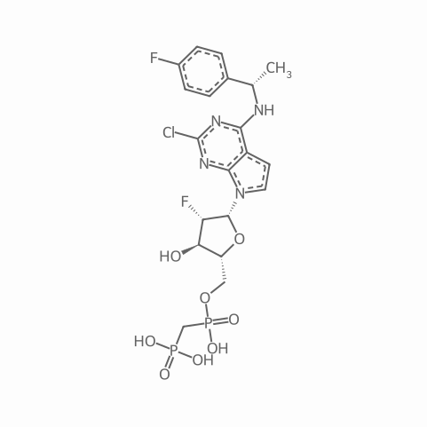 C[C@H](Nc1nc(Cl)nc2c1ccn2[C@@H]1O[C@H](COP(=O)(O)CP(=O)(O)O)[C@@H](O)[C@@H]1F)c1ccc(F)cc1